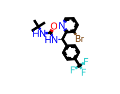 CC(C)(C)NC(=O)N[C@@H](c1ccc(C(F)(F)F)cc1)c1ncccc1Br